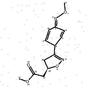 CON=C1C=CC(C2=NO[C@@H](CC(=O)OC)C2)C=C1